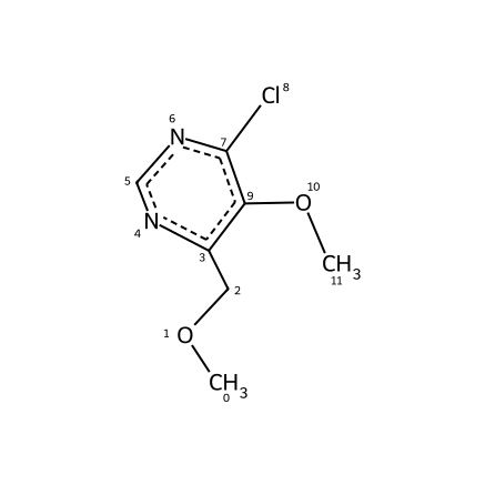 COCc1ncnc(Cl)c1OC